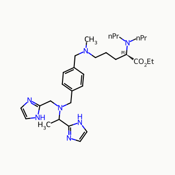 CCCN(CCC)[C@H](CCCN(C)Cc1ccc(CN(Cc2ncc[nH]2)C(C)c2ncc[nH]2)cc1)C(=O)OCC